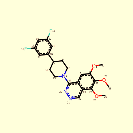 COc1cc2c(N3CCC(c4cc(F)cc(F)c4)CC3)nncc2c(OC)c1OC